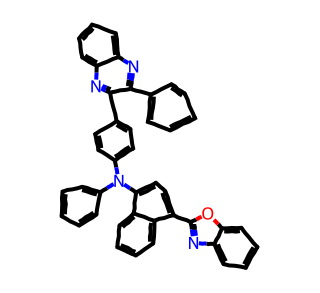 c1ccc(-c2nc3ccccc3nc2-c2ccc(N(c3ccccc3)c3ccc(-c4nc5ccccc5o4)c4ccccc34)cc2)cc1